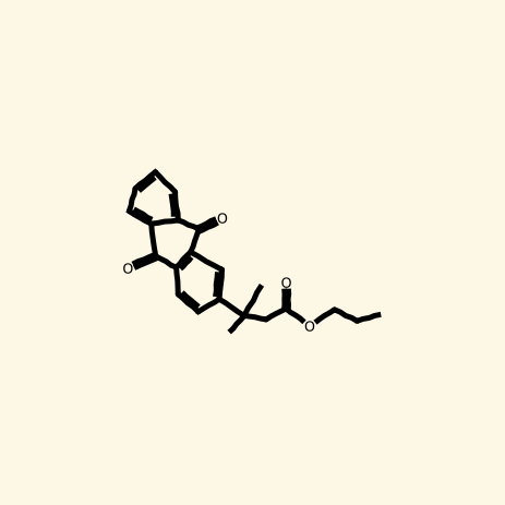 CCCOC(=O)CC(C)(C)c1ccc2c(c1)C(=O)c1ccccc1C2=O